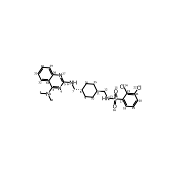 CN(C)c1nc(NC[C@H]2CC[C@H](CNS(=O)(=O)c3cccc(Cl)c3Cl)CC2)nc2ccccc12